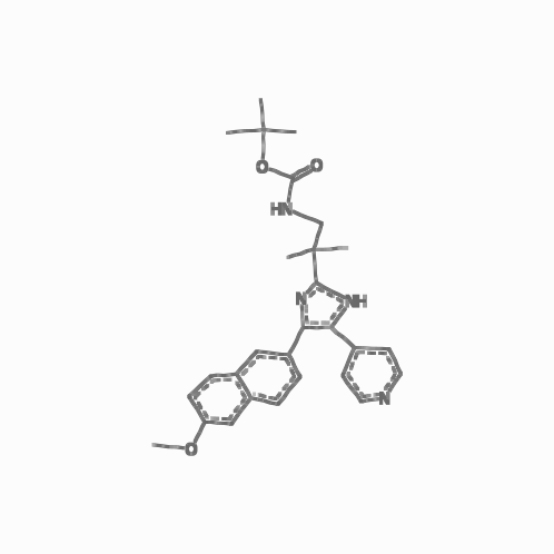 COc1ccc2cc(-c3nc(C(C)(C)CNC(=O)OC(C)(C)C)[nH]c3-c3ccncc3)ccc2c1